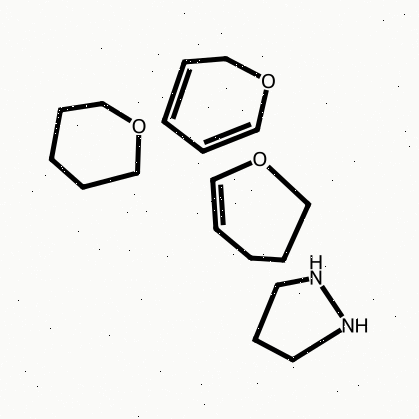 C1=CCOC=C1.C1=COCCC1.C1CCOCC1.C1CNNC1